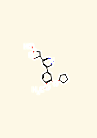 COc1ccc(-c2cncc(C3COB(O)C3)c2)cc1OC1CCCC1